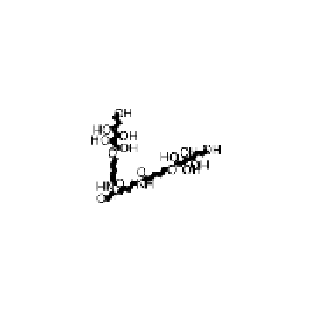 O=C[C@@H](CCCCNC(=O)CCCCOC(O)C(O)C(O)C(O)CCO)NC(=O)CCCCOC(O)C(O)C(O)C(O)CCO